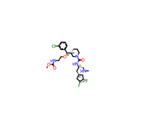 CNC[C@H](C[C@H]1C[C@@H](F)[C@@H](F)C1)NC(=O)N1CCC[C@@H]([C@@H](OCCNC(=O)OC)c2cccc(Cl)c2)C1